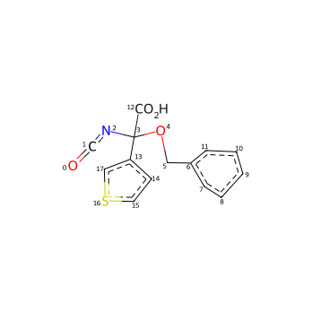 O=C=NC(OCc1ccccc1)(C(=O)O)c1ccsc1